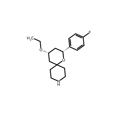 CCO[C@@H]1C[C@H](c2ccc(F)cc2)OC2(CCNCC2)C1